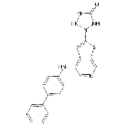 O=C1[N]NN(c2cc3c(Nc4ccc(-c5ccccc5)cc4)cncc3s2)N1